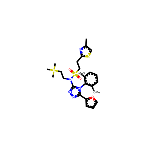 COc1cccc(OC)c1-n1c(-c2ccco2)nnc1N(CCS(C)(C)C)S(=O)(=O)CCc1nc(C)cs1